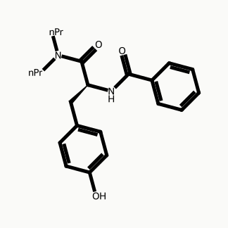 CCCN(CCC)C(=O)[C@H](Cc1ccc(O)cc1)NC(=O)c1ccccc1